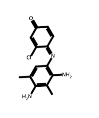 Cc1cc(N=C2C=CC(=O)C=C2Cl)c(N)c(C)c1N